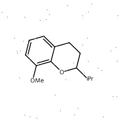 COc1cccc2c1OC(C(C)C)CC2